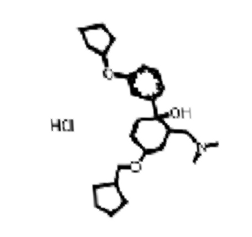 CN(C)CC1CC(OCC2CCCC2)CCC1(O)c1cccc(OC2CCCC2)c1.Cl